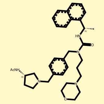 CC(=O)N[C@H]1CCN(Cc2ccc(CN(CCCN3CCOCC3)C(=O)N[C@@H](C)c3cccc4ccccc34)cc2)C1